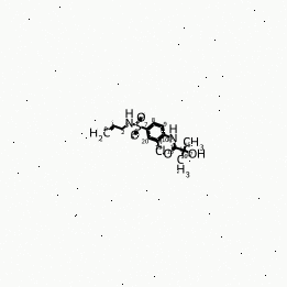 C=CCNS(=O)(=O)c1ccc(NC(=O)C(C)(C)O)c(Cl)c1